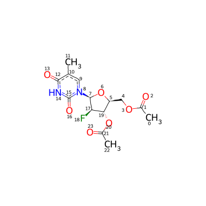 CC(=O)OC[C@@H]1O[C@H](n2cc(C)c(=O)[nH]c2=O)[C@H](F)[C@H]1OC(C)=O